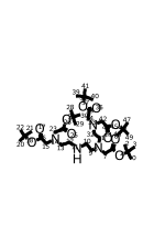 CC(C)(C)OC(=O)CN(CCNCCN(CC(=O)OC(C)(C)C)CC(=O)OC(C)(C)C)CCN(CC(=O)OC(C)(C)C)CC(=O)OC(C)(C)C